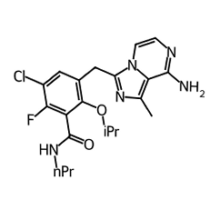 CCCNC(=O)c1c(F)c(Cl)cc(Cc2nc(C)c3c(N)nccn23)c1OC(C)C